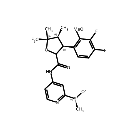 COc1c([C@H]2C(C(=O)Nc3ccnc([S@+](C)[O-])c3)O[C@@](C)(C(F)(F)F)[C@H]2C)ccc(F)c1F